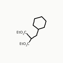 CCOC(=O)C(CC1CCCCC1)C(=O)OCC